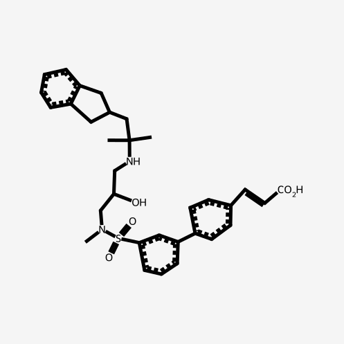 CN(CC(O)CNC(C)(C)CC1Cc2ccccc2C1)S(=O)(=O)c1cccc(-c2ccc(C=CC(=O)O)cc2)c1